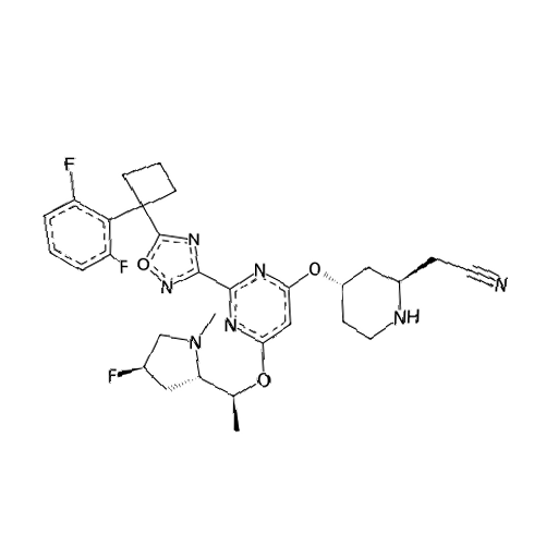 C[C@H](Oc1cc(O[C@H]2CCN[C@H](CC#N)C2)nc(-c2noc(C3(c4c(F)cccc4F)CCC3)n2)n1)[C@@H]1C[C@@H](F)CN1C